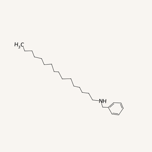 CCCCCCCCCCCCCCCCNCc1ccccc1